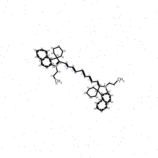 CCCN1/C(=C/C=C/C=C/C=C/C=C/C2=[N+](CCC)c3ccc4ccccc4c3C23CCCCC3)C2(CCCCC2)c2c1ccc1ccccc21